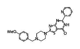 COc1ccc(CN2CCN(c3nc4nc(-c5ccccn5)[nH]c(=O)c4s3)CC2)cc1